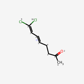 CC(=O)CC/C=C/C=C(Cl)Cl